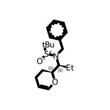 CC[C@@H]([C@@H]1CCC=CO1)N(Cc1ccccc1)[S+]([O-])C(C)(C)C